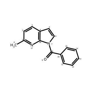 Cc1ccc2ccn(C(=O)c3ccccc3)c2n1